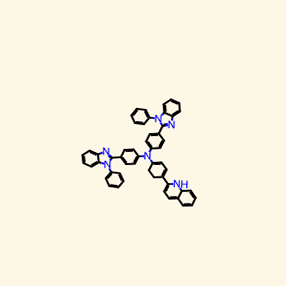 C1=CC2=CC=C(C3=CC=C(N(c4ccc(-c5nc6ccccc6n5-c5ccccc5)cc4)c4ccc(-c5nc6ccccc6n5-c5ccccc5)cc4)CC3)NC2C=C1